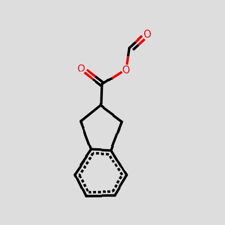 O=COC(=O)C1Cc2ccccc2C1